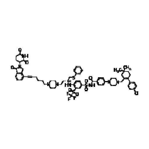 CC1(C)CCC(c2ccc(Cl)cc2)=C(CN2CCN(c3ccc(C(=O)NS(=O)(=O)c4ccc(N[C@H](CCN5CCN(CCCCC#Cc6cccc7c6CN(C6CCC(=O)NC6=O)C7=O)CC5)CSc5ccccc5)c(S(=O)(=O)C(F)(F)F)c4)cc3)CC2)C1